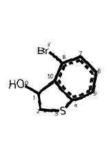 OC1CSc2cccc(Br)c21